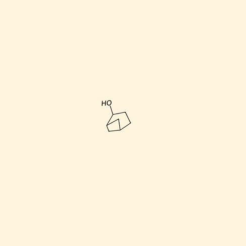 OC1CCC2CC1C2